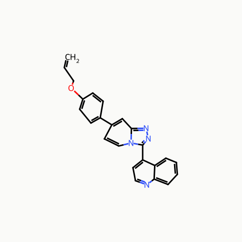 C=CCOc1ccc(-c2ccn3c(-c4ccnc5ccccc45)nnc3c2)cc1